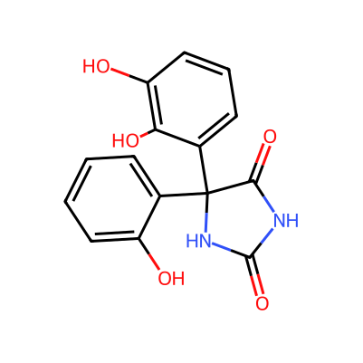 O=C1NC(=O)C(c2ccccc2O)(c2cccc(O)c2O)N1